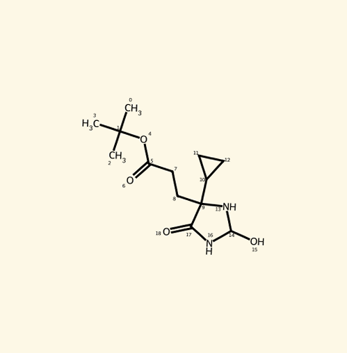 CC(C)(C)OC(=O)CCC1(C2CC2)NC(O)NC1=O